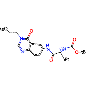 COCCn1cnc2ccc(NC(=O)C(NC(=O)OC(C)(C)C)C(C)C)cc2c1=O